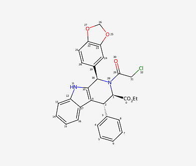 CCOC(=O)[C@H]1[C@H](c2ccccc2)c2c([nH]c3ccccc23)[C@@H](c2ccc3c(c2)OCO3)N1C(=O)CCl